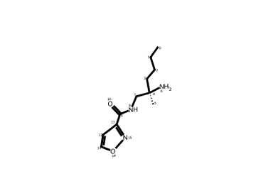 CCCC[C@@](C)(N)CNC(=O)c1ccon1